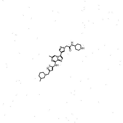 Cc1cn2c(-c3cnn(CC(=O)NC4CCNCC4)c3)cnc2c(Nc2cc(CN3CCCC(C)C3)ns2)n1